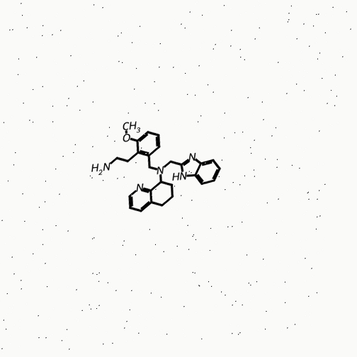 COc1cccc(CN(Cc2nc3ccccc3[nH]2)C2CCCc3cccnc32)c1CCN